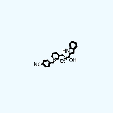 CCN(CC1CCCN(Cc2ccc(C#N)cc2)C1)C(O)c1cc2ccccc2[nH]1